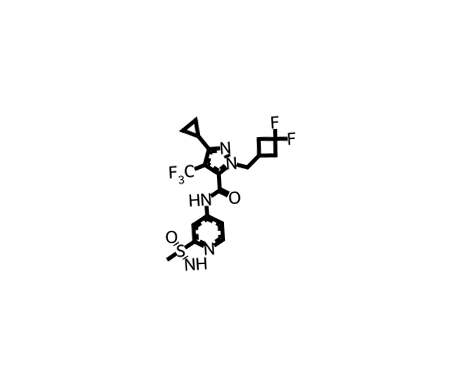 CS(=N)(=O)c1cc(NC(=O)c2c(C(F)(F)F)c(C3CC3)nn2CC2CC(F)(F)C2)ccn1